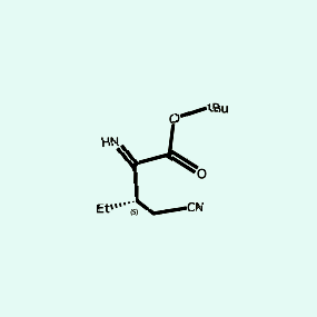 CC[C@@H](CC#N)C(=N)C(=O)OC(C)(C)C